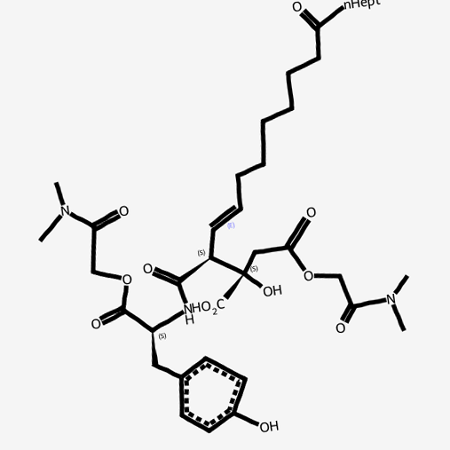 CCCCCCCC(=O)CCCCCC/C=C/[C@H](C(=O)N[C@@H](Cc1ccc(O)cc1)C(=O)OCC(=O)N(C)C)[C@@](O)(CC(=O)OCC(=O)N(C)C)C(=O)O